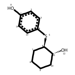 Oc1ccc(S[C@@H]2CCCC[C@H]2O)cc1